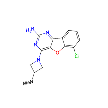 CNC1CN(c2nc(N)nc3c2oc2c(Cl)cccc23)C1